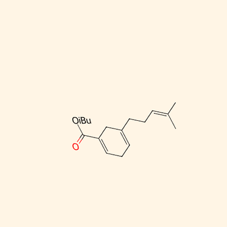 CC(C)=CCCC1=CCC=C(C(=O)OCC(C)C)C1